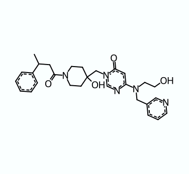 CC(CC(=O)N1CCC(O)(Cn2cnc(N(CCO)Cc3cccnc3)cc2=O)CC1)c1ccccc1